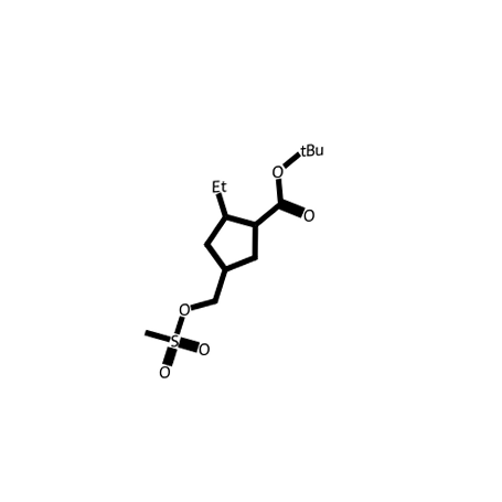 CCC1CC(COS(C)(=O)=O)CC1C(=O)OC(C)(C)C